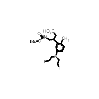 Cc1ccc(N(CCI)CCI)cc1C(CNC(=O)OC(C)(C)C)CC(=O)O